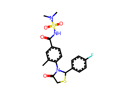 Cc1cc(C(=O)NS(=O)(=O)N(C)C)ccc1N1C(=O)CSC1c1ccc(F)cc1